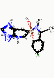 CCN(C(c1ccc(F)cc1)C(F)(F)F)S(=O)(=O)c1cnc2[nH]cnc2c1